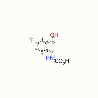 O=C(O)NCc1ccc(F)cc1CO